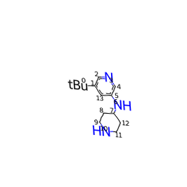 CC(C)(C)c1cncc(NC2CCNCC2)c1